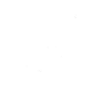 CCc1nc(/C(C)=C/C=C(\C)OCc2ccncc2)cs1